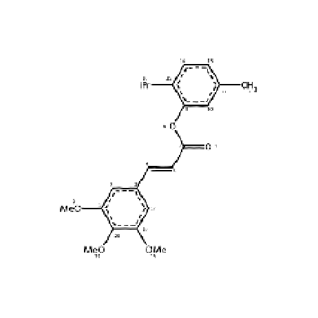 COc1cc(C=CC(=O)Oc2cc(C)ccc2C(C)C)cc(OC)c1OC